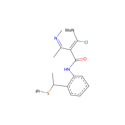 C/N=C(C)\C(C(=O)Nc1ccccc1C(C)SC(C)C)=C(\Cl)NC